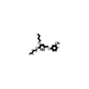 CCCCOc1cc(COc2cccc(OC)c2)nnc1OCCCC